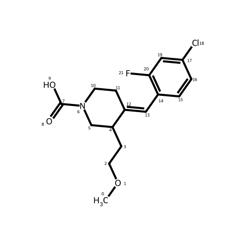 COCCC1CN(C(=O)O)CC/C1=C\c1ccc(Cl)cc1F